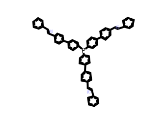 C(=C\c1ccc(-c2ccc(P(c3ccc(-c4ccc(/C=C/c5ccccc5)cc4)cc3)c3ccc(-c4ccc(/C=C/c5ccccc5)cc4)cc3)cc2)cc1)/c1ccccc1